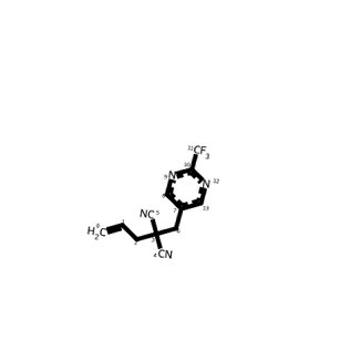 C=CCC(C#N)(C#N)Cc1cnc(C(F)(F)F)nc1